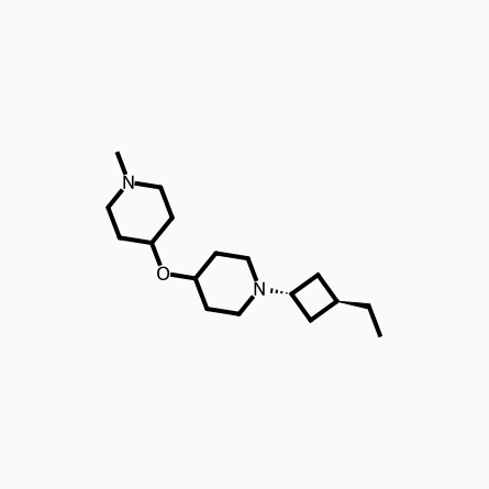 CC[C@H]1C[C@H](N2CCC(OC3CCN(C)CC3)CC2)C1